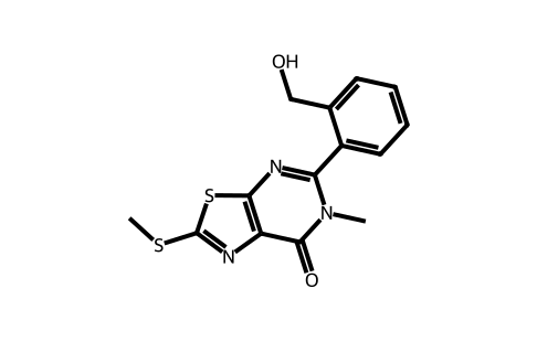 CSc1nc2c(=O)n(C)c(-c3ccccc3CO)nc2s1